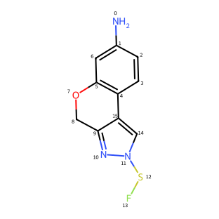 Nc1ccc2c(c1)OCc1nn(SF)cc1-2